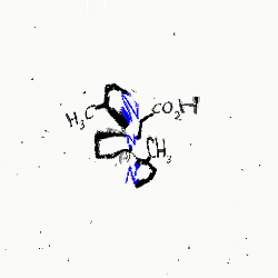 Cc1cccnc1[C@H]1CCC[C@@H](c2ncccc2C)N1CCCC(=O)O